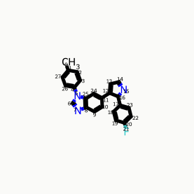 Cc1ccc(-n2cnc3ccc(C4=CC=NC4c4ccc(F)cc4)cc32)cc1